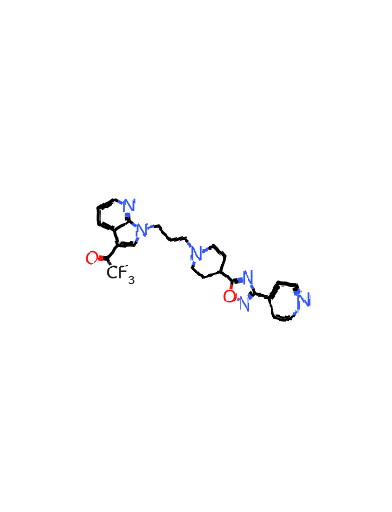 O=C(c1cn(CCCN2CCC(c3nc(-c4ccncc4)no3)CC2)c2ncccc12)C(F)(F)F